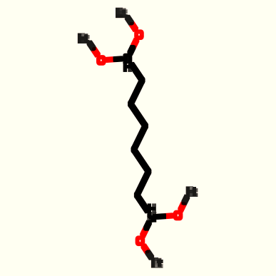 CCO[SiH](CCCCCC[SiH](OCC)OCC)OCC